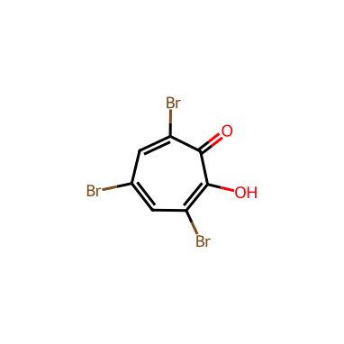 O=c1c(Br)cc(Br)cc(Br)c1O